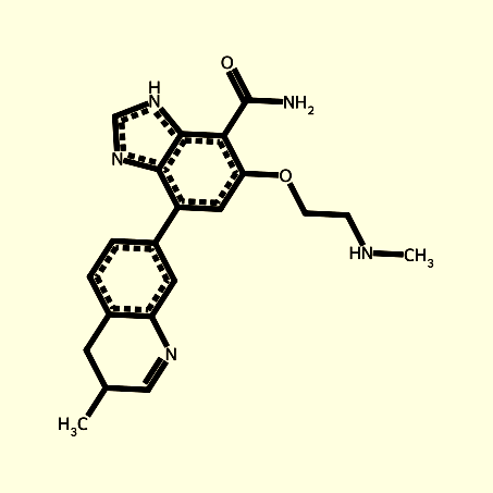 CNCCOc1cc(-c2ccc3c(c2)N=CC(C)C3)c2nc[nH]c2c1C(N)=O